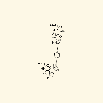 COC(=O)N[C@H](C(=O)N1[C@@H](C)CC[C@H]1c1ncc(C#Cc2ccc(C#Cc3cnc([C@@H]4CC[C@@H]5CC(C)[C@H](NC(=O)OC)C(=O)N54)[nH]3)cc2)[nH]1)C(C)C